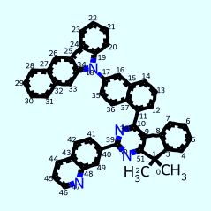 CC1(C)c2ccccc2-c2c(-c3cccc4cc(-n5c6ccccc6c6cc7ccccc7cc65)ccc34)nc(-c3ccc4cccnc4c3)nc21